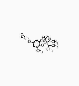 Cc1cc(OC[C@@H]2CO2)ccc1O[Si](C(C)C)(C(C)C)C(C)C